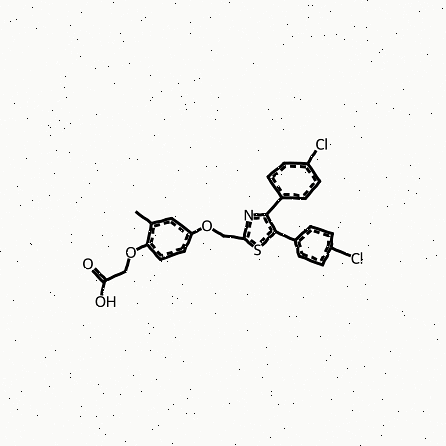 Cc1cc(OCc2nc(-c3ccc(Cl)cc3)c(-c3ccc(Cl)cc3)s2)ccc1OCC(=O)O